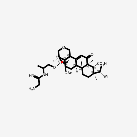 CC(=O)O[C@@H]1C[C@@]23COC[C@@](C)([C@@H]2CC[C@H]2C3=CC(=O)[C@@]3(C)[C@H](C(=O)O)[C@@](C)([C@H](C)C(C)C)CC[C@]23C)[C@H]1OCC(C)NC(=N)CN